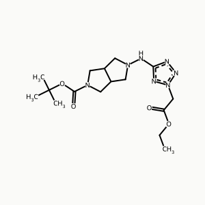 CCOC(=O)Cn1nnc(NN2CC3CN(C(=O)OC(C)(C)C)CC3C2)n1